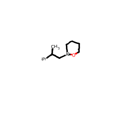 CC(C)C(C)[CH2][Al]1[CH2]CCC[O]1